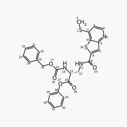 CSc1ccnc2cc(C(=O)NC[C@@H](NC(=O)OCc3ccccc3)C(=O)Oc3ccccc3)sc12